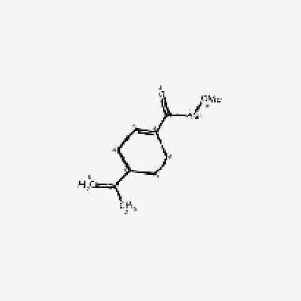 C=C(C)C1CC=C(C(=O)NOC)CC1